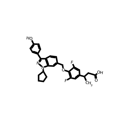 CC(CC(=O)O)c1cc(F)c(OCc2ccc3c(-c4ccc(O)cc4)nn(C4CCCC4)c3c2)c(F)c1